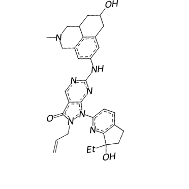 C=CCn1c(=O)c2cnc(Nc3cc4c5c(c3)CN(C)CC5CC(O)C4)nc2n1-c1ccc2c(n1)C(O)(CC)CC2